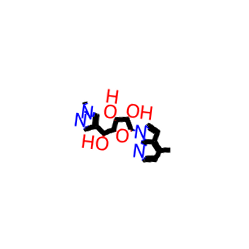 Cc1ccnc2c1ccn2[C@@H]1O[C@H]([C@@H](O)c2cnn(C)c2)[C@@H](O)[C@H]1O